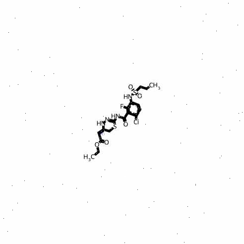 CCCS(=O)(=O)Nc1ccc(Cl)c(C(=O)NC2=NN/C(=C/C(=O)OCC)CS2)c1F